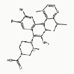 Cc1ccnc(C(C)C)c1N1c2cc(Br)c(F)cc2C(N2CCN(C(=O)O)C[C@@H]2C)=C(N)C1C